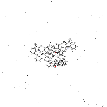 O=C1C(=O)c2ccccc2/C1=C/C1=Cc2sc3c(c2C1(C(=O)OCc1ccccc1)C(=O)OCc1ccccc1)C(C(=O)OCc1ccccc1)(C(=O)OCc1ccccc1)c1c-3sc2c1C(C(=O)OCc1ccccc1)(C(=O)OCc1ccccc1)C(/C=C1\C(=O)C(=O)c3ccccc31)=C2